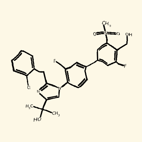 CC(C)(O)c1cn(-c2ccc(-c3cc(F)c(CO)c(S(C)(=O)=O)c3)cc2F)c(Cc2ccccc2Cl)n1